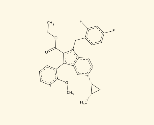 CCOC(=O)c1c(-c2cccnc2OC)c2cc([C@@H]3C[C@@H]3C)ccc2n1Cc1ccc(F)cc1F